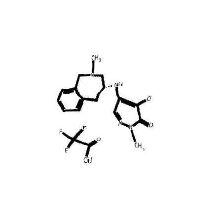 CN1Cc2ccccc2C[C@@H](Nc2cnn(C)c(=O)c2Cl)C1.O=C(O)C(F)(F)F